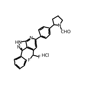 Cl.O=CN1CCCC1c1ccc(-c2cc(C(F)F)c3c(-c4ccccc4)n[nH]c3n2)cc1